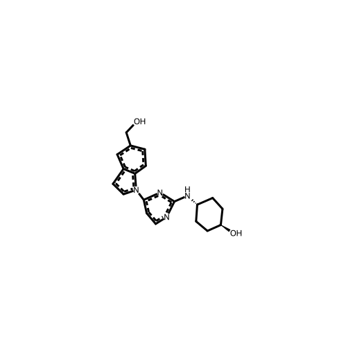 OCc1ccc2c(ccn2-c2ccnc(N[C@H]3CC[C@H](O)CC3)n2)c1